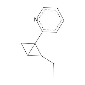 CCC1C2CC12c1ccccn1